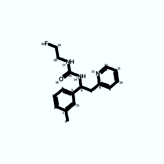 Cc1cccc(C(Cc2ccccn2)NC(=O)NCCF)c1